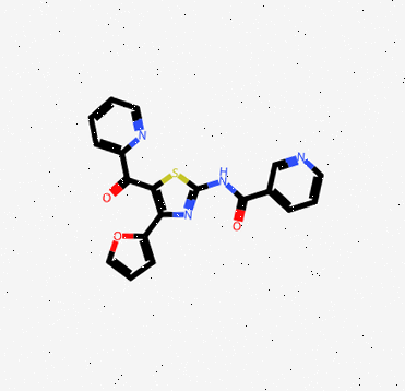 O=C(Nc1nc(-c2ccco2)c(C(=O)c2ccccn2)s1)c1cccnc1